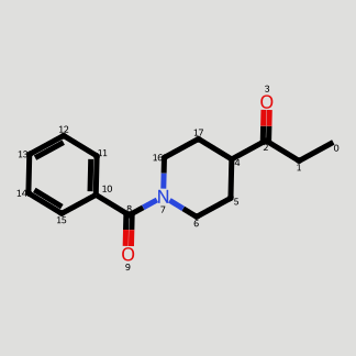 CCC(=O)C1CCN(C(=O)c2ccccc2)CC1